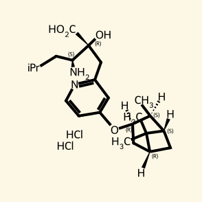 CC(C)C[C@H](N)[C@](O)(Cc1cc(O[C@@H]2C[C@H]3C[C@@H]([C@@H]2C)C3(C)C)ccn1)C(=O)O.Cl.Cl